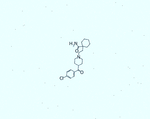 NC(=O)C1(CCN2CCC(C(=O)c3ccc(Cl)cc3)CC2)CCCCC1